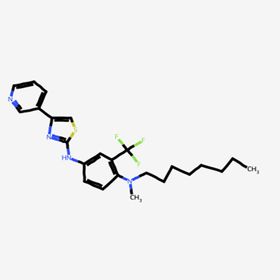 CCCCCCCCN(C)c1ccc(Nc2nc(-c3cccnc3)cs2)cc1C(F)(F)F